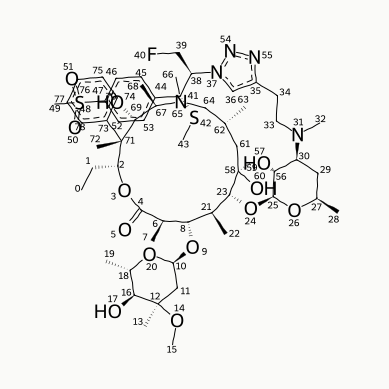 CC[C@H]1OC(=O)[C@H](C)[C@@H](O[C@H]2C[C@@](C)(OC)[C@@H](O)[C@H](C)O2)[C@H](C)[C@@H](O[C@@H]2O[C@H](C)C[C@H](N(C)CCc3cn([C@H](CF)[C@H](SC)c4ccc(S(C)(=O)=O)cc4)nn3)[C@H]2O)[C@](C)(O)C[C@@H](C)CN(C)[C@H](C)[C@@H](O)[C@@]1(C)c1ccccc1